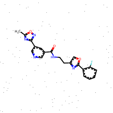 Cc1nc(-c2cncc(C(=O)NCCc3coc(-c4ccccc4F)n3)c2)no1